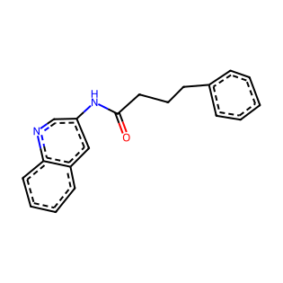 O=C(CCCc1ccccc1)Nc1cnc2ccccc2c1